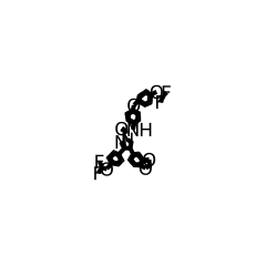 O=C(Nc1ccc(Oc2ccc(OC(F)F)cc2)cc1)N1CC(c2ccc3c(c2)OCO3)C(c2ccc(OC(F)F)cc2)=N1